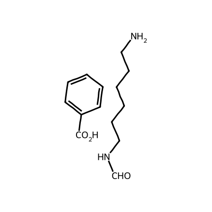 NCCCCCCNC=O.O=C(O)c1ccccc1